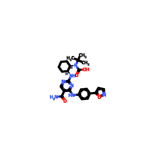 CC(C)(C)N(C(=O)O)[C@H]1CCCC[C@H]1Nc1ncc(C(N)=O)c(Nc2ccc(-c3ccno3)cc2)n1